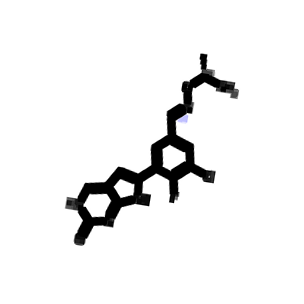 C[C@H](N)O/N=C/c1cc(Cl)c(F)c(-c2cc3c[nH]c(=O)nc3[nH]2)c1